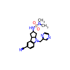 CN(C)S(=O)(=O)NC1CC2c3cc(C#N)ccc3N(Cc3cnccn3)C2C1